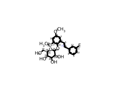 COc1cc(/C=C/c2cccc(F)c2)c(OC2O[C@H](CO)[C@@H](O)[C@H](O)[C@H]2O)c(OC)c1